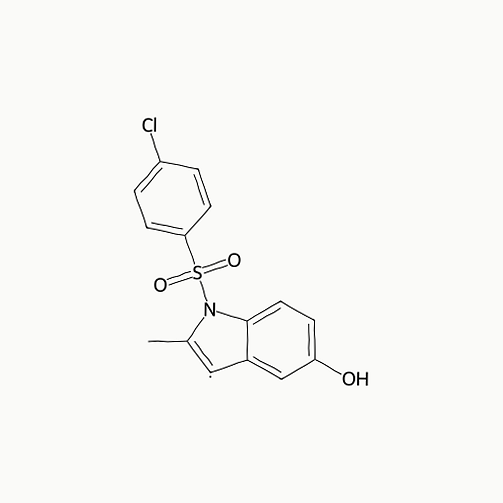 Cc1[c]c2cc(O)ccc2n1S(=O)(=O)c1ccc(Cl)cc1